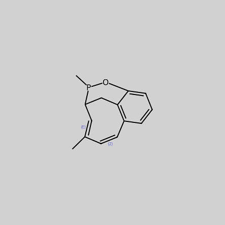 CC1=C\C2Cc3c(cccc3OP2C)/C=C\1